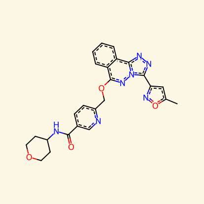 Cc1cc(-c2nnc3c4ccccc4c(OCc4ccc(C(=O)NC5CCOCC5)cn4)nn23)no1